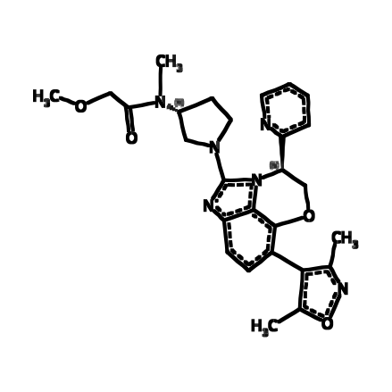 COCC(=O)N(C)[C@@H]1CCN(c2nc3ccc(-c4c(C)noc4C)c4c3n2[C@@H](c2ccccn2)CO4)C1